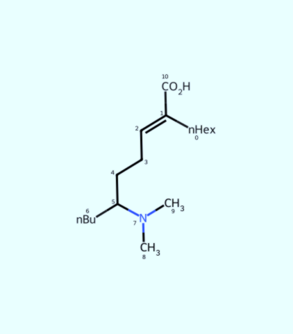 CCCCCC/C(=C\CCC(CCCC)N(C)C)C(=O)O